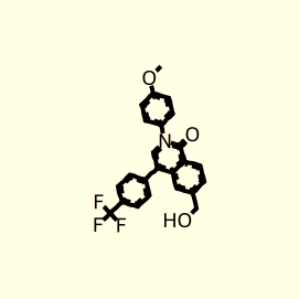 COc1ccc(-n2cc(-c3ccc(C(F)(F)F)cc3)c3cc(CO)ccc3c2=O)cc1